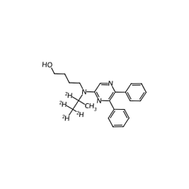 [2H]C([2H])([2H])C([2H])(C)N(CCCCO)c1cnc(-c2ccccc2)c(-c2ccccc2)n1